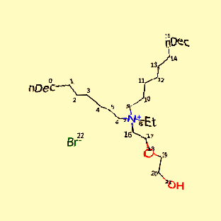 CCCCCCCCCCCCCCCC[N+](CC)(CCCCCCCCCCCCCCCC)CCOCCO.[Br-]